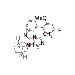 COc1cc(F)ccc1-c1cccn2nc(NC3[C@@H]4CC[C@H]3CN(c3nc(C)ns3)C4)nc12